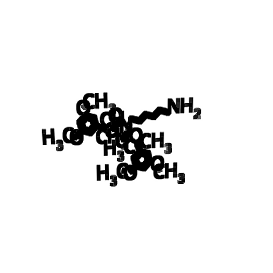 COc1cc(OC)cc(C(C)(C)OC(=O)N(CCCCCCN)C(=O)OC(C)(C)c2cc(OC)cc(OC)c2)c1